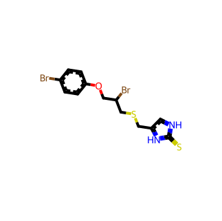 S=c1[nH]cc(CSCC(Br)COc2ccc(Br)cc2)[nH]1